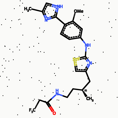 COc1cc(Nc2nc(C[C@@H](C)CCNC(=O)CC(F)(F)F)cs2)ccc1-c1nc(C)c[nH]1